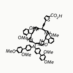 COc1ccc(-c2ccc(N(c3ccc(-c4ccc(OC)cc4OC)cc3)c3c4nc(c(-c5c(OC)cccc5OC)c5ccc([nH]5)c(C#Cc5ccc(C(=O)O)s5)c5nc(c(-c6c(OC)cccc6OC)c6ccc3[nH]6)C=C5)C=C4)cc2)c(OC)c1